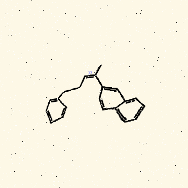 C/C(=C/CCc1ccccc1)c1ccc2ccccc2c1